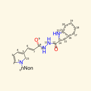 CCCCCCCCCN1C=CC=C(/C=C/C(=O)NNC(=O)c2cc3ccccc3[nH]2)C1